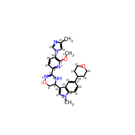 COc1nc(C2=NOCC(c3cn(C)c4ccc(C5CCOCC5)cc34)N2)ccc1-n1cnc(C)c1